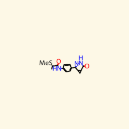 CSC(C)C(=O)Nc1ccc(C2=NNC(=O)C3CC23)cc1